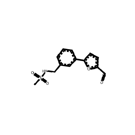 CS(=O)(=O)NCc1cccc(-c2ccc(C=O)o2)c1